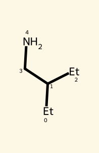 [CH2]CC(CC)CN